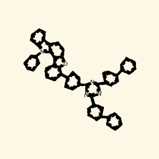 c1ccc(-c2ccc(-c3nc(-c4ccc(-c5cccc6c5oc5ccc7c8ccccc8n(-c8ccccc8)c7c56)cc4)nc(-c4cccc(-c5ccccc5)c4)n3)cc2)cc1